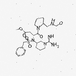 COC(=O)CC(C(=O)N1CCCC1CNC=O)N(C1CCCN(C(=N)N)C1)S(=O)(=O)Cc1ccccc1